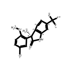 COc1ccc(Cl)cc1[C@]1(C)C(=O)Nc2cc(C(F)(F)F)ccc21